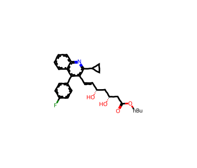 CCCCOC(=O)C[C@H](O)C[C@H](O)/C=C/c1c(C2CC2)nc2ccccc2c1-c1ccc(F)cc1